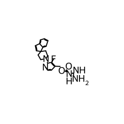 N=C(N)NC(=O)OCc1ccnc(N2CCC3(C=Cc4ccccc43)CC2)c1F